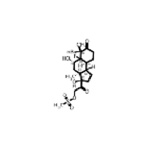 CCCC[C@@]1(C)C(=O)CC[C@H]2[C@@H]3CC[C@](O)(C(=O)COS(C)(=O)=O)[C@@]3(C)C[C@H](O)[C@@]21F